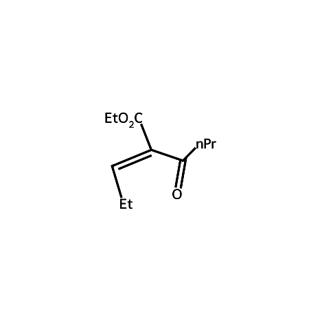 CCC=C(C(=O)CCC)C(=O)OCC